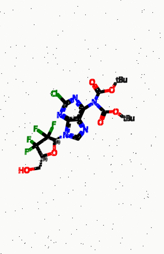 CC(C)(C)OC(=O)N(C(=O)OC(C)(C)C)c1nc(Cl)nc2c1ncn2[C@@H]1O[C@H](CO)C(F)(F)C1(F)F